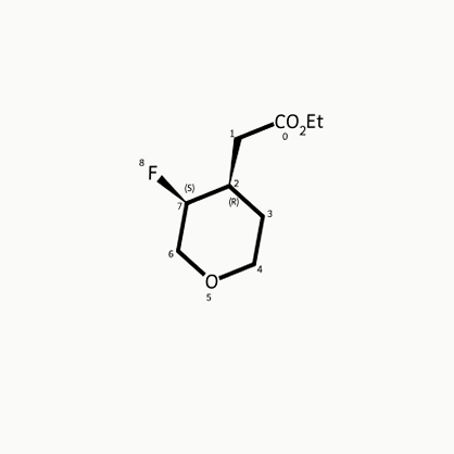 CCOC(=O)C[C@H]1CCOC[C@H]1F